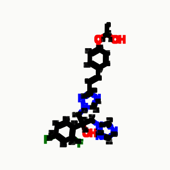 CC(O)Oc1ccc(C=Cc2ncn(CC(O)(Cn3cncn3)c3ccc(F)cc3F)n2)cc1